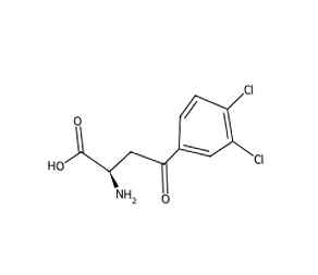 N[C@H](CC(=O)c1ccc(Cl)c(Cl)c1)C(=O)O